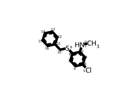 CNc1cc(Cl)ccc1SCc1ccccc1